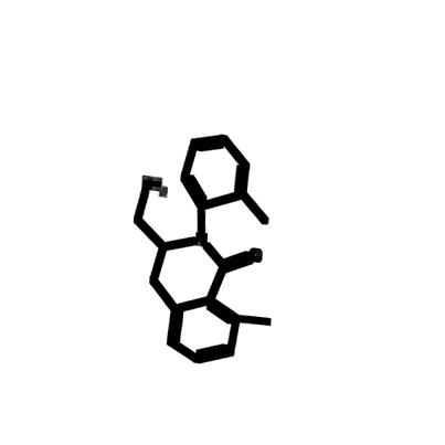 BCC1Cc2cccc(C)c2C(=O)N1c1ccccc1C